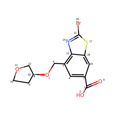 O=C(O)c1cc(CO[C@H]2CCOC2)c2nc(Br)sc2c1